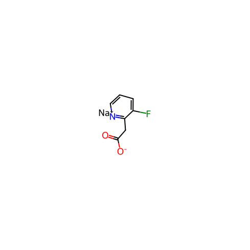 O=C([O-])Cc1ncccc1F.[Na+]